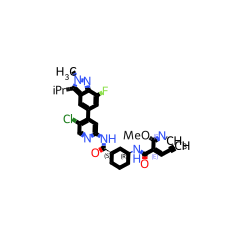 C#C/C=C(C(=O)N[C@@H]1CCC[C@H](C(=O)Nc2cc(-c3cc(F)c4nn(C)c(C(C)C)c4c3)c(Cl)cn2)C1)\C(=N/C)OC